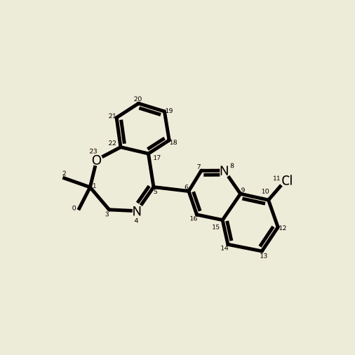 CC1(C)CN=C(c2cnc3c(Cl)cccc3c2)c2ccccc2O1